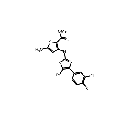 COC(=O)c1sc(C)cc1Nc1nc(-c2ccc(Cl)c(Cl)c2)c(C(C)C)s1